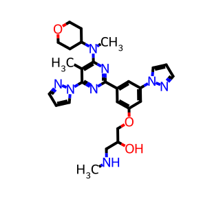 CNCC(O)COc1cc(-c2nc(N(C)C3CCOCC3)c(C)c(-n3cccn3)n2)cc(-n2cccn2)c1